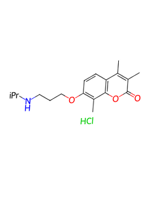 Cc1c(C)c2ccc(OCCCNC(C)C)c(C)c2oc1=O.Cl